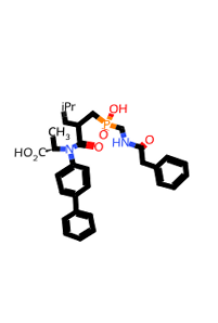 CC(C)CC(CP(=O)(O)CNC(=O)Cc1ccccc1)C(=O)N(c1ccc(-c2ccccc2)cc1)[C@@H](C)C(=O)O